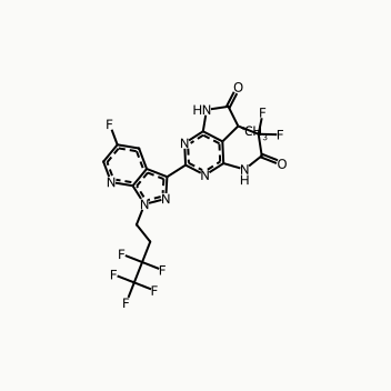 C[C@@]12C(=O)Nc3nc(-c4nn(CCC(F)(F)C(F)(F)F)c5ncc(F)cc45)nc(c31)NC(=O)C2(F)F